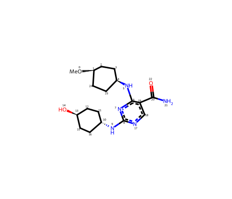 CO[C@H]1CC[C@@H](Nc2nc(N[C@H]3CC[C@H](O)CC3)ncc2C(N)=O)CC1